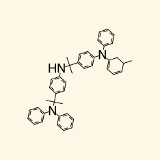 CC1C=CC=C(N(c2ccccc2)c2ccc(C(C)(C)Nc3ccc(C(C)(C)N(c4ccccc4)c4ccccc4)cc3)cc2)C1